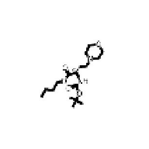 CCCCOC(=O)[C@H](CCN1CCOCC1)NC(=O)OC(C)(C)C